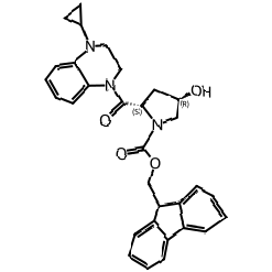 O=C([C@@H]1C[C@@H](O)CN1C(=O)OCC1c2ccccc2-c2ccccc21)N1CCN(C2CC2)c2ccccc21